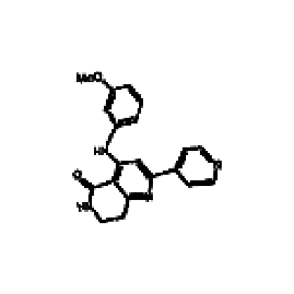 COc1cccc(Nc2cc(-c3ccncc3)nc3c2C(=O)NCC3)c1